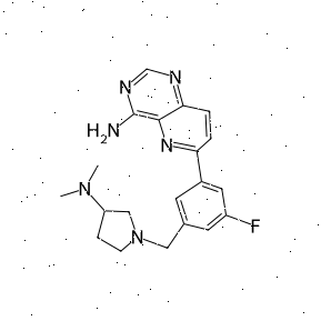 CN(C)C1CCN(Cc2cc(F)cc(-c3ccc4ncnc(N)c4n3)c2)C1